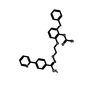 CCC(=O)Oc1c(OCCON=C(C)c2ccc(-c3ccccn3)cc2)cccc1Sc1ccccc1